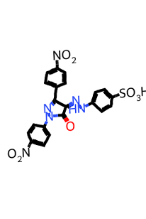 O=C1/C(=N\Nc2ccc(S(=O)(=O)O)cc2)C(c2ccc([N+](=O)[O-])cc2)=NN1c1ccc([N+](=O)[O-])cc1